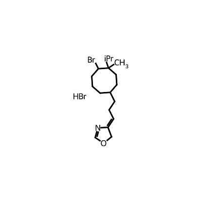 Br.CC(C)C1(C)CCC(CCC=C2COC=N2)CCCC1Br